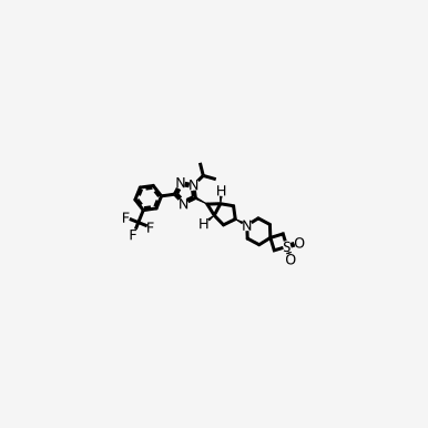 CC(C)n1nc(-c2cccc(C(F)(F)F)c2)nc1[C@H]1[C@@H]2C[C@@H](N3CCC4(CC3)CS(=O)(=O)C4)C[C@@H]21